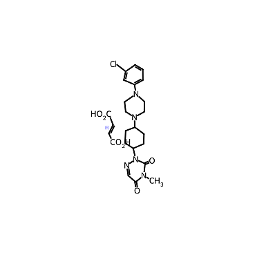 Cn1c(=O)cnn(C2CCC(N3CCN(c4cccc(Cl)c4)CC3)CC2)c1=O.O=C(O)/C=C/C(=O)O